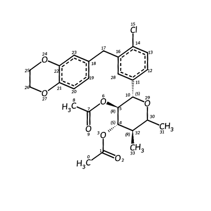 CC(=O)O[C@@H]1[C@@H](OC(C)=O)[C@H](c2ccc(Cl)c(Cc3ccc4c(c3)OCCO4)c2)OC(C)[C@H]1C